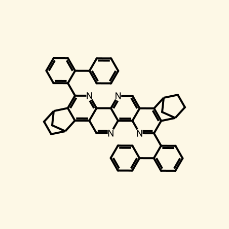 c1ccc(-c2ccccc2-c2nc3c(cnc4c5nc(-c6ccccc6-c6ccccc6)c6c(c5cnc34)C3CCC6C3)c3c2C2CCC3C2)cc1